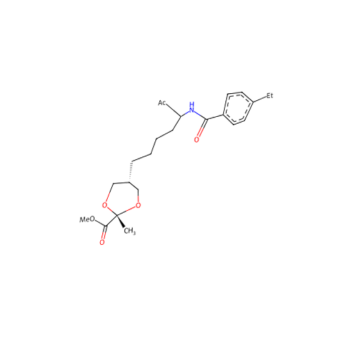 CCc1ccc(C(=O)NC(CCCC[C@H]2CO[C@@](C)(C(=O)OC)OC2)C(C)=O)cc1